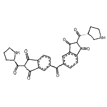 O=C(c1ccc2c(c1)C(=O)C(C(=O)[C@@H]1CCNC1)C2=O)c1ccc2c(c1)C(=O)C(C(=O)[C@H]1CCCN1)C2=O